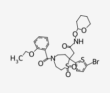 CCOc1ccccc1C(=O)N1CCC(CC(=O)NOC2CCCCO2)(c2ccc(Br)s2)S(=O)(=O)CC1